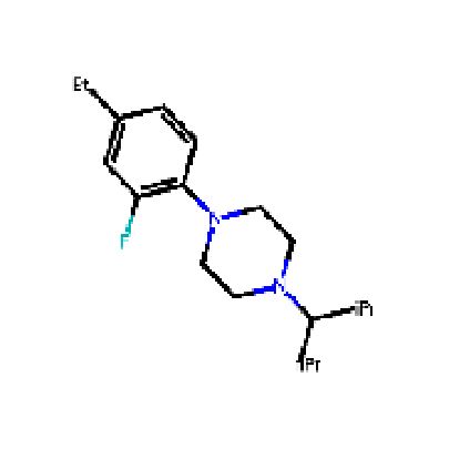 CCCC(C(C)C)N1CCN(c2ccc(CC)cc2F)CC1